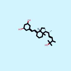 CC(/C=C/[C@@H](C)[C@H]1CC[C@H]2/C(=C/C=C3\CC(O)C[C@H](O)C3)CCCC12C)C(C)(C)O